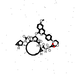 COc1ccc2c(O[C@@H]3C[C@H]4C(=O)N[C@]5(C(=O)NS(=O)(=O)C6CC6)C[C@H]5/C=C\CC[C@H](C)C[C@@H](C)[C@H](N(C(=O)O)[C@H]5CC6C[C@H]6C5)C(=O)N4C3)nc(-c3ccc(N4CCOCC4)cc3)cc2c1